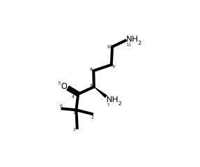 CC(C)(C)C(=O)[C@H](N)CCCN